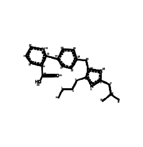 CCCCc1nc(CC(C)C)nn1Cc1ccc(-c2ncccc2C(=O)O)cc1